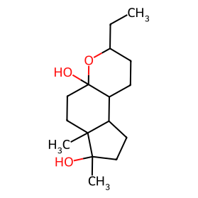 CCC1CCC2C3CCC(C)(O)C3(C)CCC2(O)O1